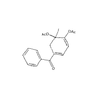 CC(=O)OC1=CC=C(C(=O)c2ccccc2)CC1(C)OC(C)=O